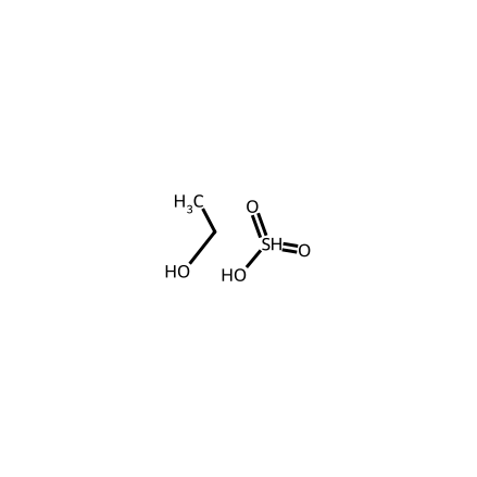 CCO.O=[SH](=O)O